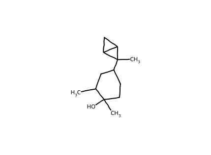 CC1CC(C2(C)C3CC32)CCC1(C)O